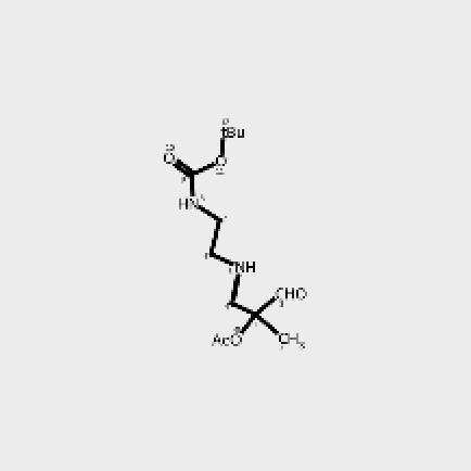 CC(=O)OC(C)(C=O)CNCCNC(=O)OC(C)(C)C